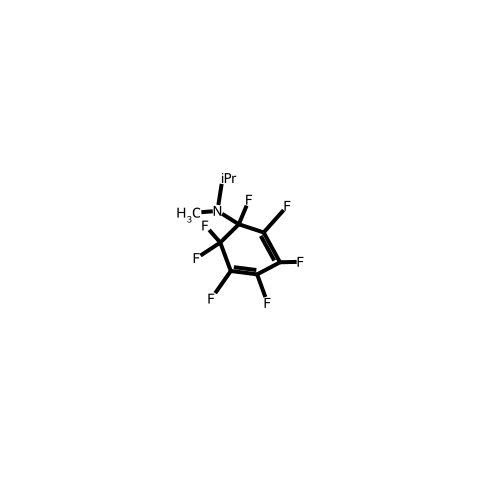 CC(C)N(C)C1(F)C(F)=C(F)C(F)=C(F)C1(F)F